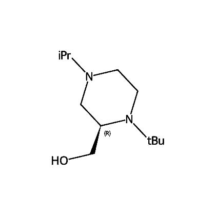 CC(C)N1CCN(C(C)(C)C)[C@@H](CO)C1